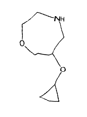 C1COCC(OC2CC2)CN1